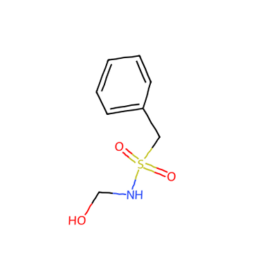 O=S(=O)(Cc1ccccc1)NCO